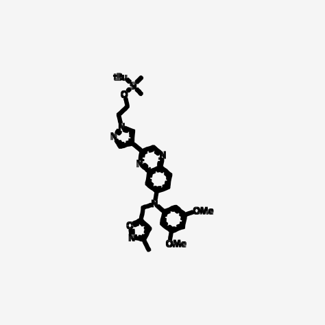 COc1cc(OC)cc(N(Cc2cc(C)no2)c2ccc3ncc(-c4cnn(CCO[Si](C)(C)C(C)(C)C)c4)nc3c2)c1